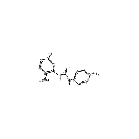 Oc1ccc(Cl)cc1NC(=S)Nc1ccc(C(F)(F)F)cc1